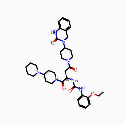 CCOc1ccccc1NC(=O)N[C@H](CC(=O)N1CCC(N2Cc3ccccc3NC2=O)CC1)C(=O)N1CCC(N2CCCCC2)CC1